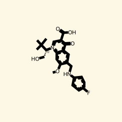 COc1cc2c(cc1CNc1ccc(F)cc1)c(=O)c(C(=O)O)cn2[C@H](CO)C(C)(C)C